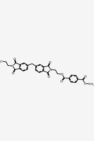 CCCN1C(=O)c2ccc(Cc3ccc4c(c3)C(=O)N(CCOC(=O)c3ccc(C(=O)OC)cc3)C4=O)cc2C1=O